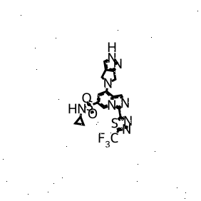 O=S(=O)(NC1CC1)c1cc(N2Cc3c[nH]nc3C2)c2cnc(-c3nnc(C(F)(F)F)s3)n2c1